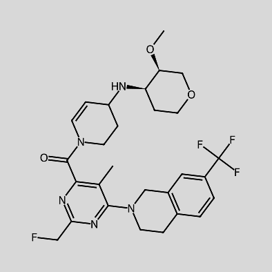 CO[C@H]1COCC[C@H]1NC1C=CN(C(=O)c2nc(CF)nc(N3CCc4ccc(C(F)(F)F)cc4C3)c2C)CC1